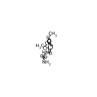 CCOc1ccc(N2CCCN(C(=O)NCCS(=O)(=O)CCN)C[C@@H]2C(C)C(C)C)cc1